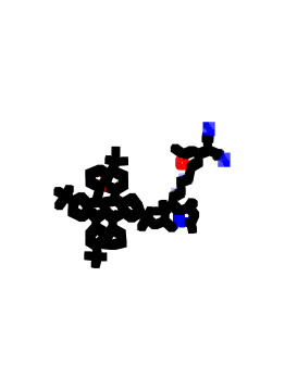 C=C1CC(C)N2CC(CC(C)(C)c3ccc4c(-c5ccc(C(C)(C)C)cc5)c5c(-c6ccccc6)c6cc(C(C)(C)C)ccc6c(-c6ccc(C(C)(C)C)cc6)c5c(-c5ccccc5)c4c3)C(C)(C)C(/C=C/C=C/C3=CC(=C(C#N)C#N)C=C(C)O3)=C12